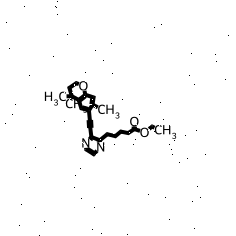 CCOC(=O)CCCCc1nccnc1C#Cc1cc2c(cc1C)OCCC2(C)C